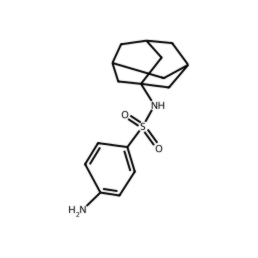 Nc1ccc(S(=O)(=O)NC23CC4CC(CC(C4)C2)C3)cc1